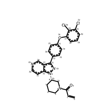 C=CC(=O)N1CCC[C@H](n2nc(-c3ccc(Oc4cccc(Cl)c4Cl)cc3)c3cnccc32)C1